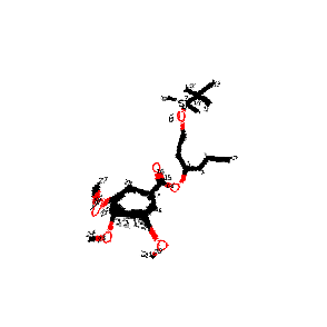 C=CCC(CCO[Si](C)(C)C(C)(C)C)OC(=O)c1cc(OC)c(OC)c(OC)c1